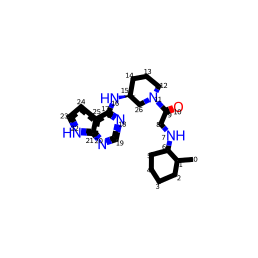 CC1CCCCC1NCC(=O)N1CCC[C@H](Nc2ncnc3[nH]ccc23)C1